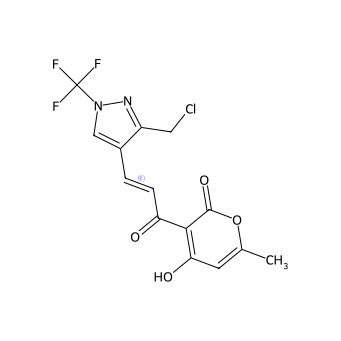 Cc1cc(O)c(C(=O)/C=C/c2cn(C(F)(F)F)nc2CCl)c(=O)o1